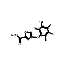 COC(=O)c1cc(Oc2c(C)c(F)c(F)c(Br)c2C)cs1